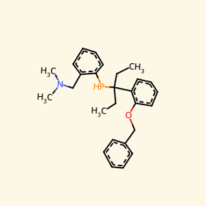 CCC(CC)(Pc1ccccc1CN(C)C)c1ccccc1OCc1ccccc1